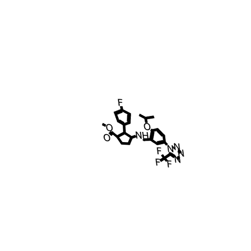 COC(=O)C1CCC(NCc2cc(-n3nnnc3C(F)(F)F)ccc2OC(C)C)C1c1ccc(F)cc1